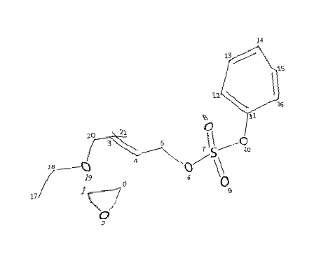 C1CO1.C=CCOS(=O)(=O)Oc1ccccc1.CCOCC